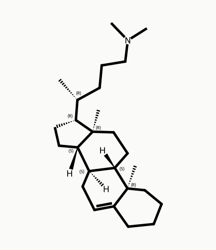 C[C@H](CCCN(C)C)[C@H]1CC[C@H]2[C@@H]3CC=C4CCCC[C@]4(C)[C@H]3CC[C@]12C